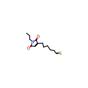 CCCN1C(=O)C=C(CCCCCC=S)C1=O